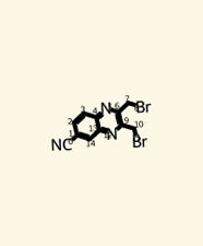 N#Cc1ccc2nc(CBr)c(CBr)nc2c1